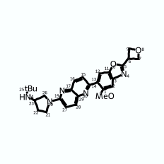 COc1cc2nc(C3COC3)oc2cc1-c1ccc2nc(N3CCC(NC(C)(C)C)C3)ccc2n1